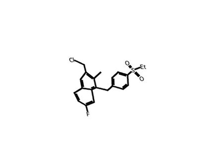 CCS(=O)(=O)c1ccc(Cc2c(C)c(CCl)cc3ccc(F)cc23)cc1